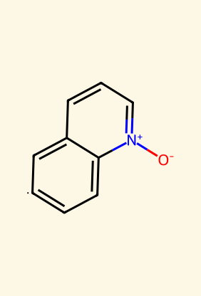 [O-][n+]1cccc2c[c]ccc21